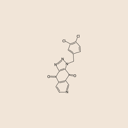 O=C1c2ccncc2C(=O)c2c1nnn2Cc1ccc(Cl)c(Cl)c1